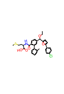 CCOC(c1ccc(C(=O)NC(CCSC)C(=O)O)c(-c2ccccc2C)c1)c1ccc(-c2ccc(Cl)cc2)o1